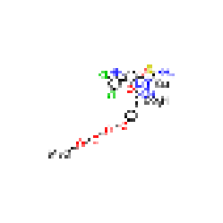 CCC(C)[C@H](NC(=O)[C@@]1(NC(=O)[C@H](CCc2ccc(OCCOCCOCCOCCOC)cc2)NC(=O)O)CCc2[nH]c3c(Cl)cc(Cl)cc3c2C1)C(N)=S